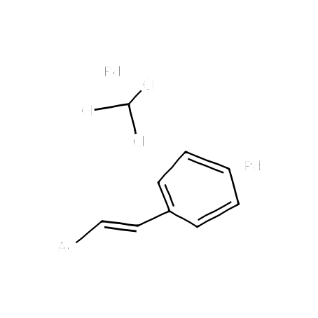 CC(=O)C=Cc1ccccc1.ClC(Cl)Cl.[Pd].[Pd]